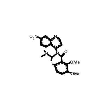 COc1ccc(I)c(C(=O)N(c2ccnc3cc([N+](=O)[O-])ccc23)C(C)N(C)C)c1OC